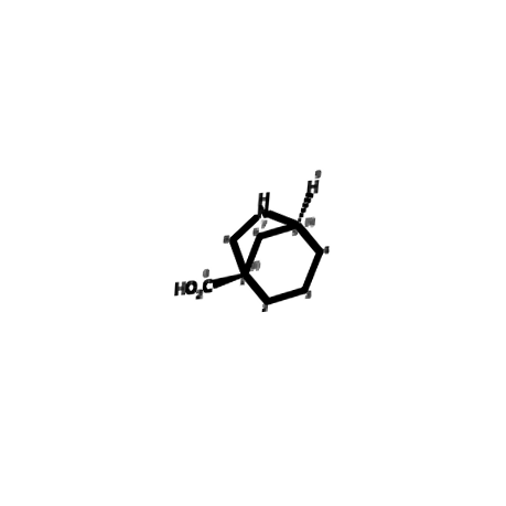 O=C(O)[C@]12CCC[C@@H](C1)NC2